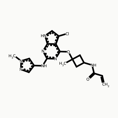 C=CC(=O)NC1CC(C)(Oc2nc(Nc3cnn(C)c3)nc3[nH]cc(Cl)c23)C1